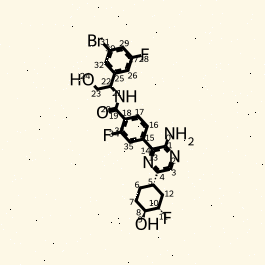 Nc1ncc([C@H]2CC[C@H](O)[C@@H](F)C2)nc1-c1ccc(C(=O)NC(CO)c2cc(F)cc(Br)c2)c(F)c1